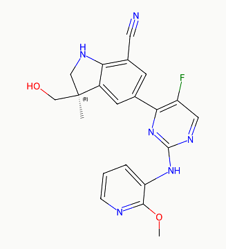 COc1ncccc1Nc1ncc(F)c(-c2cc(C#N)c3c(c2)[C@@](C)(CO)CN3)n1